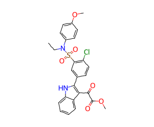 CCN(c1ccc(OC)cc1)S(=O)(=O)c1cc(-c2[nH]c3ccccc3c2C(=O)C(=O)OC)ccc1Cl